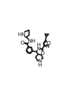 O=C(NC1CCCNC1)c1cccc(C(NC(=O)c2cc(C3CC3)on2)C2CCNCC2)c1